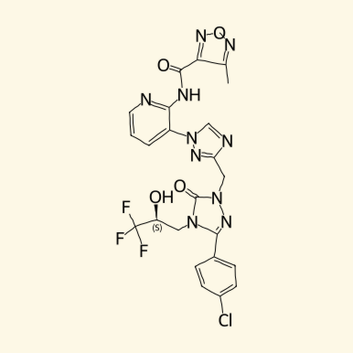 Cc1nonc1C(=O)Nc1ncccc1-n1cnc(Cn2nc(-c3ccc(Cl)cc3)n(C[C@H](O)C(F)(F)F)c2=O)n1